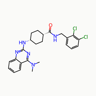 CN(C)c1nc(N[C@H]2CC[C@@H](C(=O)NCc3cccc(Cl)c3Cl)CC2)nc2ccccc12